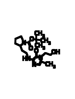 Cc1cnc(NCCC2CCCN2C(=O)OC(C)(C)C)c(=O)n1CCO